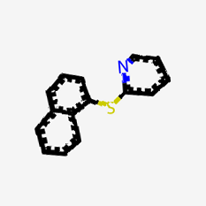 c1ccc(Sc2cccc3ccccc23)nc1